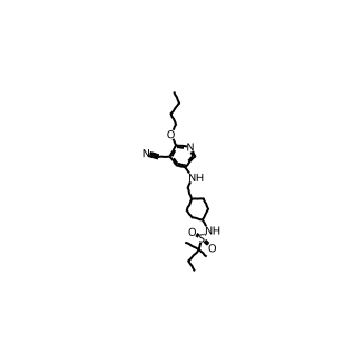 CCCCOc1ncc(NCC2CCC(NS(=O)(=O)C(C)(C)CC)CC2)cc1C#N